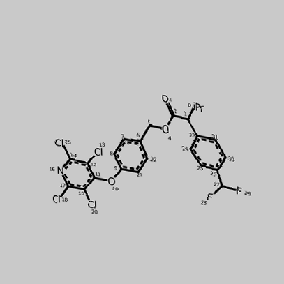 CC(C)C(C(=O)OCc1ccc(Oc2c(Cl)c(Cl)nc(Cl)c2Cl)cc1)c1ccc(C(F)F)cc1